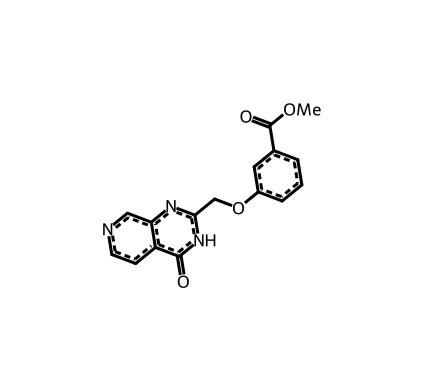 COC(=O)c1cccc(OCc2nc3cnccc3c(=O)[nH]2)c1